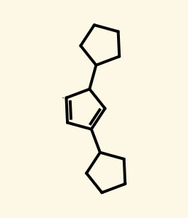 [C]1=CC(C2CCCC2)=CC1C1CCCC1